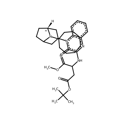 COC(=O)C(CC(=O)OC(C)(C)C)Nc1nc2ccccc2n(C2CC3CC[C@H](C2)N3C2CCCCCCC2)c1=O